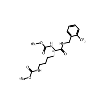 CC(C)(C)OC(=O)NCCCC[C@H](NC(=O)OC(C)(C)C)C(=O)NCc1ccccc1C(F)(F)F